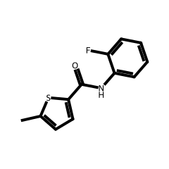 Cc1ccc(C(=O)Nc2ccccc2F)s1